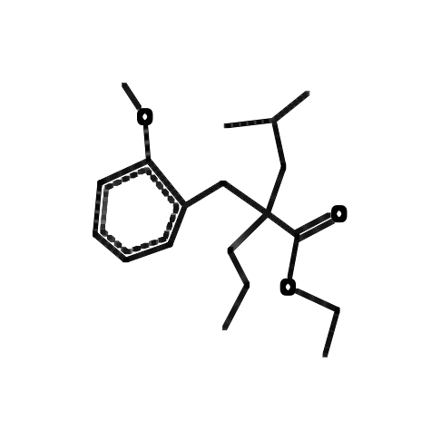 CCCC(Cc1ccccc1OC)(CC(C)C)C(=O)OCC